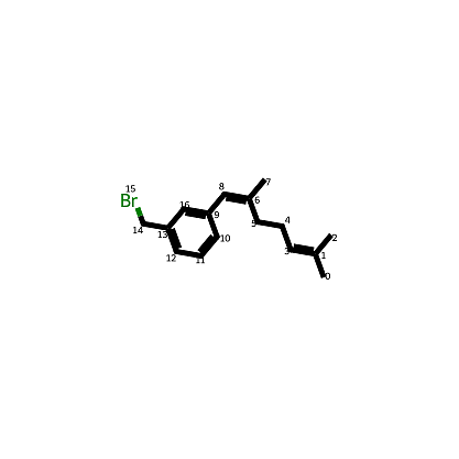 CC(C)=CCCC(C)=Cc1cccc(CBr)c1